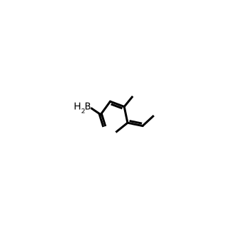 BC(=C)/C=C(C)\C(C)=C/C